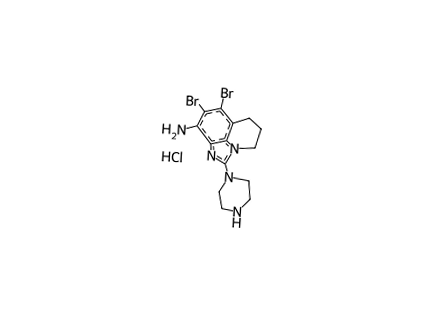 Cl.Nc1c(Br)c(Br)c2c3c1nc(N1CCNCC1)n3CCC2